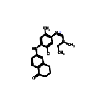 CCN(C)/C=N\c1cc(Cl)c(Nc2ccc3c(c2)CCCC3=O)cc1C